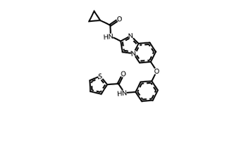 O=C(Nc1cccc(Oc2ccc3nc(NC(=O)C4CC4)cn3c2)c1)c1cccs1